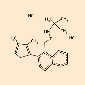 CC1=CCC(c2ccc3ccccc3c2[CH2][Ti][NH]C(C)(C)C)=C1C.Cl.Cl